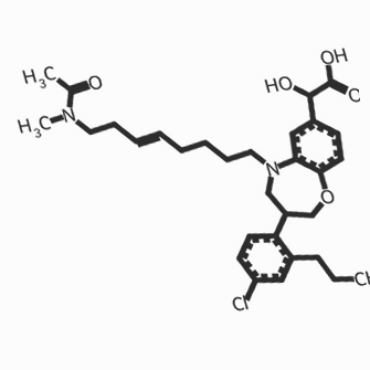 CCCc1cc(Cl)ccc1C1COc2ccc(C(O)C(=O)O)cc2N(CCCC/C=C/CCN(C)C(C)=O)C1